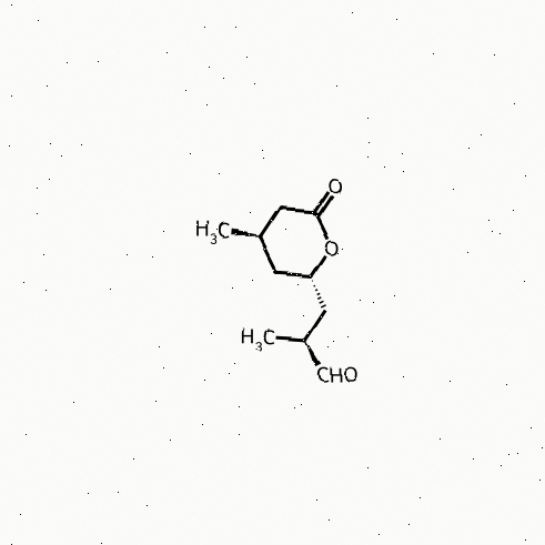 C[C@H]1CC(=O)O[C@H](C[C@H](C)C=O)C1